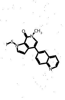 Cn1cc(-c2ccc3ncccc3c2)c2ccn(SI)c2c1=O